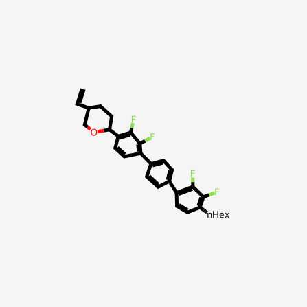 C=CC1CCC(c2ccc(-c3ccc(-c4ccc(CCCCCC)c(F)c4F)cc3)c(F)c2F)OC1